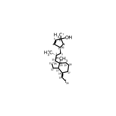 C[C@H](C[C@H]1C=C[C@](C)(O)C1)[C@H]1CCC2C(=CI)CCC[C@@]21C